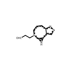 O=CCCn1cccc2nncc-2c2[nH]c1=2